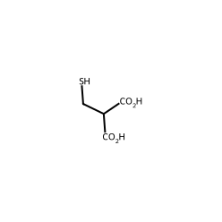 O=C(O)C(CS)C(=O)O